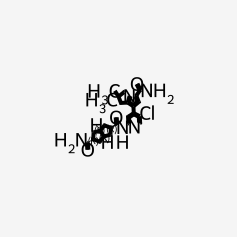 CC1(C)Cc2c(-c3cc(NC(=O)[C@H]4C[C@H]5C[C@H](C(N)=O)C[C@H]5C4)ncc3Cl)cc(C(N)=O)n2C1